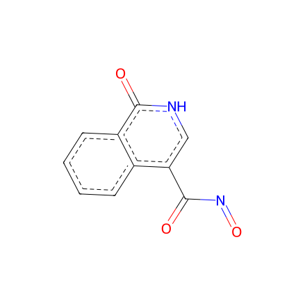 O=NC(=O)c1c[nH]c(=O)c2ccccc12